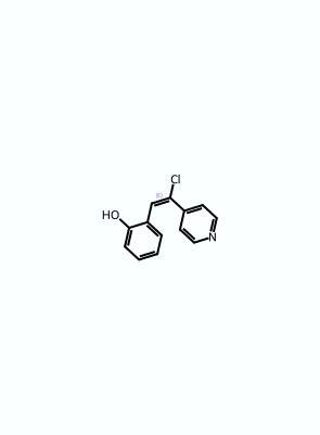 Oc1ccccc1/C=C(/Cl)c1ccncc1